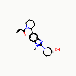 C=CC(=O)N1CCCCC1c1ccc2c(c1)nc(N1CCC[C@@H](O)C1)n2C